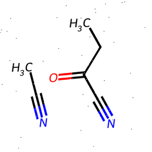 CC#N.CCC(=O)C#N